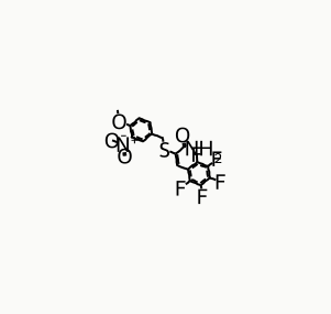 COc1ccc(CS/C(=C/c2c(F)c(F)c(F)c(F)c2F)C(N)=O)cc1[N+](=O)[O-]